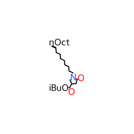 CCCCCCCCC=CCCCCCCCCN1CC(C(=O)OCC(C)C)CC1=O